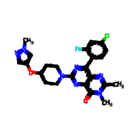 Cc1nc2c(-c3ccc(Cl)cc3F)nc(N3CCC(Oc4cnn(C)c4)CC3)nc2c(=O)n1C